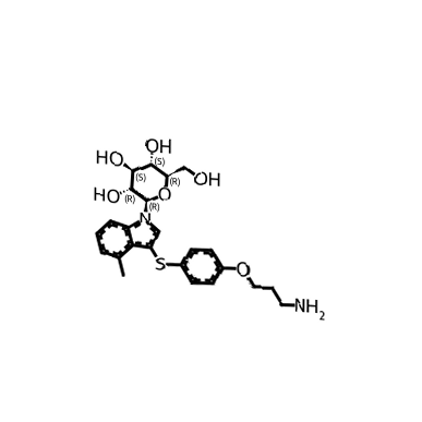 Cc1cccc2c1c(Sc1ccc(OCCCN)cc1)cn2[C@@H]1O[C@H](CO)[C@@H](O)[C@H](O)[C@H]1O